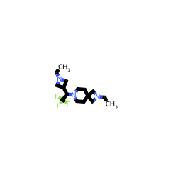 CCN1CC(C(N2CCC3(CC2)CN(CC)C3)C(F)(F)F)C1